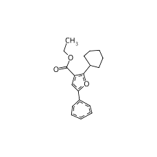 CCOC(=O)c1cc(-c2ccccc2)oc1C1CCCCC1